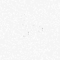 CC(C)C(Nc1ccc(-c2ccccc2C(=O)O)cc1NC(=O)Nc1ccccc1F)C1CCCC1